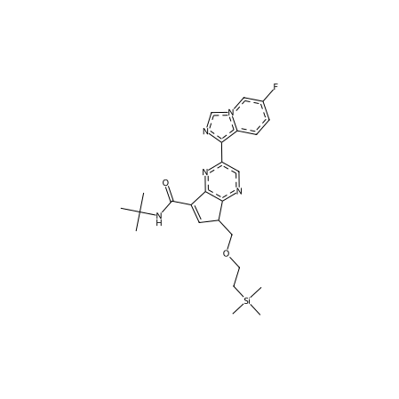 CC(C)(C)NC(=O)C1=CC(COCC[Si](C)(C)C)c2ncc(-c3ncn4cc(F)ccc34)nc21